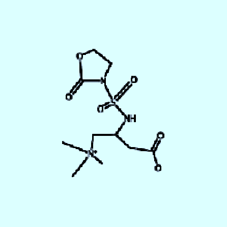 C[N+](C)(C)CC(CC(=O)[O-])NS(=O)(=O)N1CCOC1=O